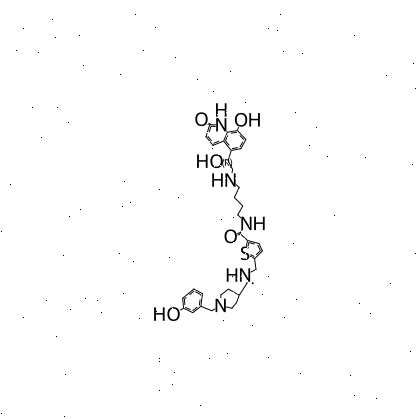 O=C(NCCCCNC[C@H](O)c1ccc(O)c2[nH]c(=O)ccc12)c1ccc(CN[CH]C2CCN(Cc3cccc(O)c3)CC2)s1